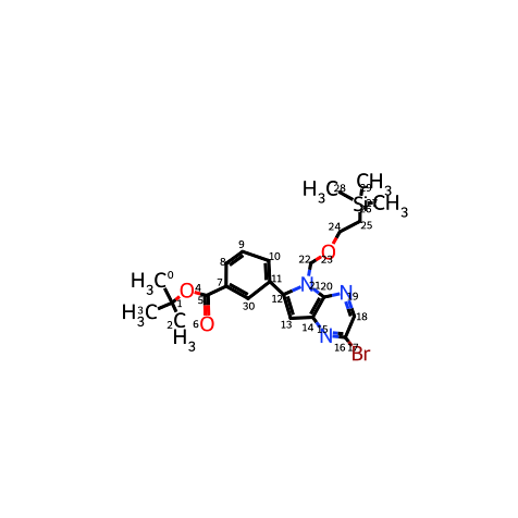 CC(C)(C)OC(=O)c1cccc(-c2cc3nc(Br)cnc3n2COCC[Si](C)(C)C)c1